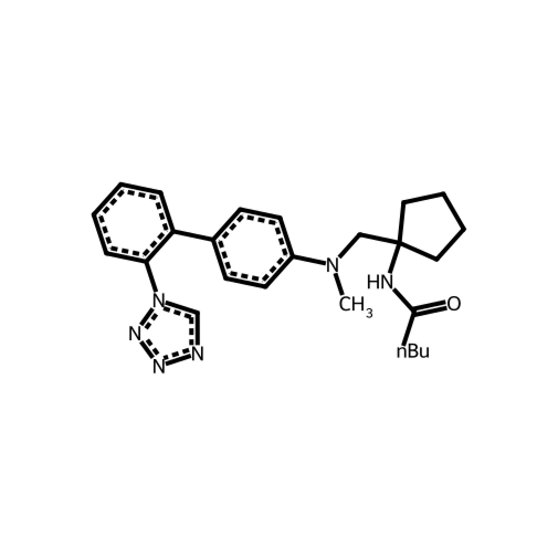 CCCCC(=O)NC1(CN(C)c2ccc(-c3ccccc3-n3cnnn3)cc2)CCCC1